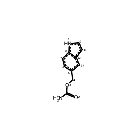 NC(=O)OCc1ccc2[nH]ccc2c1